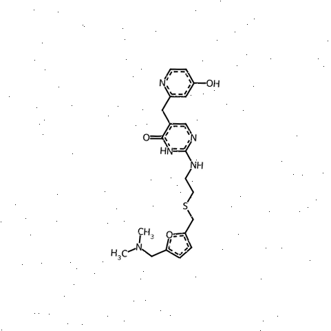 CN(C)Cc1ccc(CSCCNc2ncc(Cc3cc(O)ccn3)c(=O)[nH]2)o1